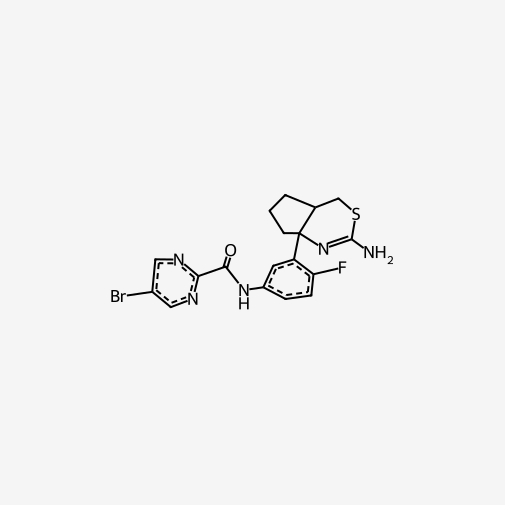 NC1=NC2(c3cc(NC(=O)c4ncc(Br)cn4)ccc3F)CCCC2CS1